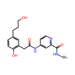 CC(C)(C)NC(=O)c1cc(NC(=O)Cc2cc(CCCO)ccc2O)ccn1